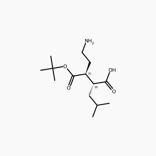 CC(C)C[C@@H](C(=O)O)[C@H](CCN)C(=O)OC(C)(C)C